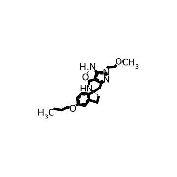 CCCCOc1ccc2c(c1)CC[C@]21Cc2nn(CCOC)c(N)c2C(=O)N1